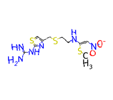 CSC(=C[N+](=O)[O-])NCCSCc1csc(NC(=N)N)n1